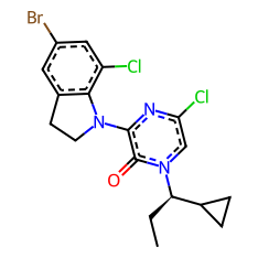 CC[C@H](C1CC1)n1cc(Cl)nc(N2CCc3cc(Br)cc(Cl)c32)c1=O